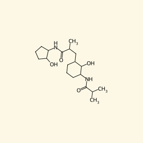 CC(C)C(=O)NC1CCCC(CC(C)C(=O)NC2CCCC2O)C1O